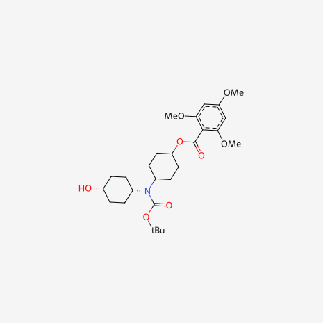 COc1cc(OC)c(C(=O)OC2CCC(N(C(=O)OC(C)(C)C)[C@H]3CC[C@@H](O)CC3)CC2)c(OC)c1